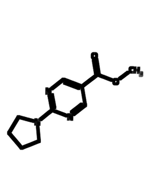 COC(=O)c1cnc(N2CCCC2)nc1